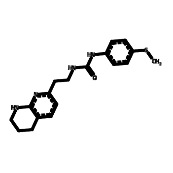 CSc1ccc(NC(=O)NCCc2ccc3c(n2)NCCC3)cc1